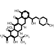 CN1CCN(CC(O)c2ccc(O)c3c2C[C@H]2C[C@H]4[C@H](N(C)C)C(O)=C(C(N)=O)C(=O)[C@@]4(O)C(O)=C2C3=O)CC1